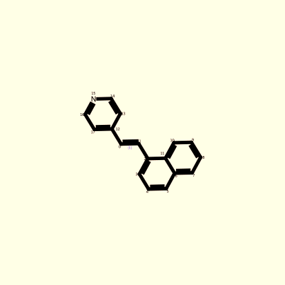 C(=C\c1cccc2ccccc12)/c1ccncc1